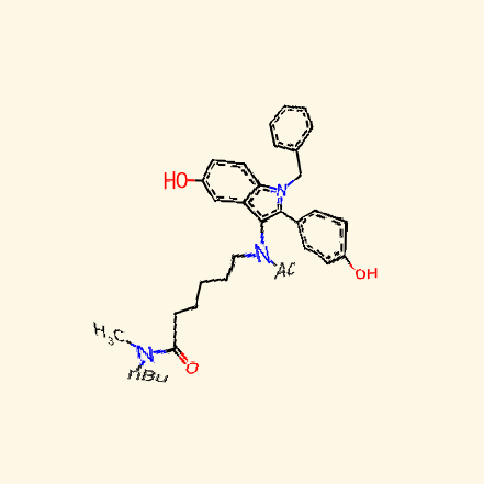 CCCCN(C)C(=O)CCCCCN(C(C)=O)c1c(-c2ccc(O)cc2)n(Cc2ccccc2)c2ccc(O)cc12